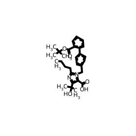 CCCCc1nc(C(C)(C)O)c(C(=O)O)n1Cc1ccc(-c2ccccc2C(=O)OC(C)(C)C)cc1